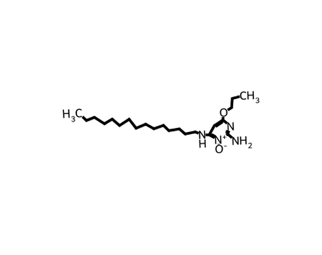 CCCCCCCCCCCCCCCNc1cc(OCCC)nc(N)[n+]1[O-]